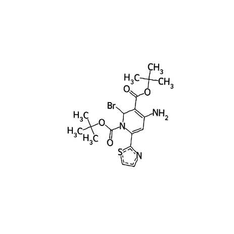 CC(C)(C)OC(=O)C1=C(N)C=C(c2nccs2)N(C(=O)OC(C)(C)C)C1Br